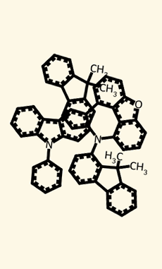 CC1(C)c2ccccc2-c2ccc(N(c3cccc4c3C(C)(C)c3ccccc3-4)c3cccc4oc5cccc(-c6ccc7c(c6)c6ccccc6n7-c6ccccc6)c5c34)cc21